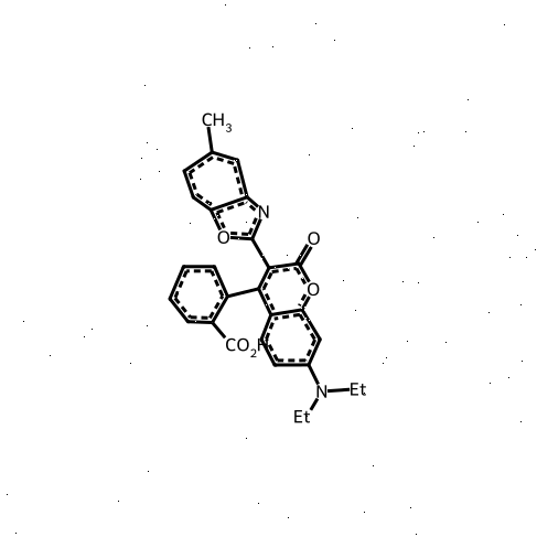 CCN(CC)c1ccc2c(-c3ccccc3C(=O)O)c(-c3nc4cc(C)ccc4o3)c(=O)oc2c1